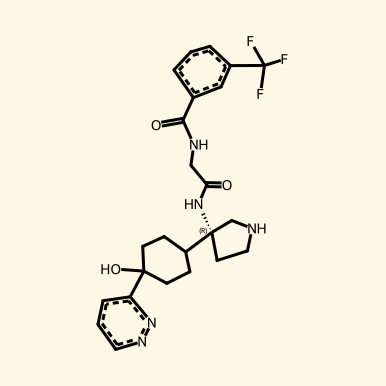 O=C(CNC(=O)c1cccc(C(F)(F)F)c1)N[C@@]1(C2CCC(O)(c3cccnn3)CC2)CCNC1